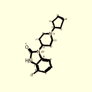 O=c1[nH]c2c(F)cccc2n1C1CCN(C2CCCC2)CC1